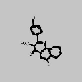 O=C(O)C1C(=O)c2cc(Cl)c3ccccc3c2N=C1c1ccc(Cl)cc1